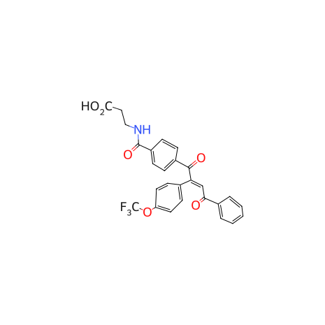 O=C(O)CCNC(=O)c1ccc(C(=O)C(=CC(=O)c2ccccc2)c2ccc(OC(F)(F)F)cc2)cc1